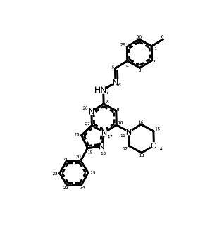 Cc1ccc(C=NNc2cc(N3CCOCC3)n3nc(-c4ccccc4)cc3n2)cc1